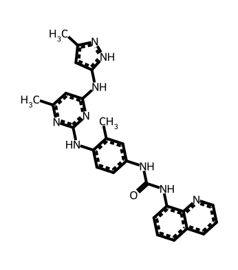 Cc1cc(Nc2cc(C)nc(Nc3ccc(NC(=O)Nc4cccc5cccnc45)cc3C)n2)[nH]n1